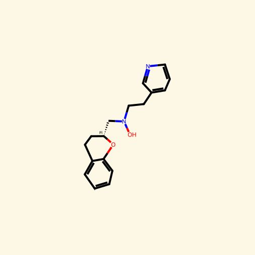 ON(CCc1cccnc1)C[C@H]1CCc2c[c]ccc2O1